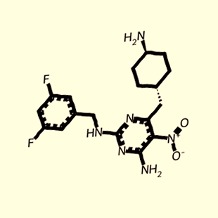 Nc1nc(NCc2cc(F)cc(F)c2)nc(C[C@H]2CC[C@H](N)CC2)c1[N+](=O)[O-]